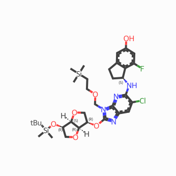 CC(C)(C)[Si](C)(C)O[C@@H]1CO[C@H]2[C@@H]1OC[C@H]2Oc1nc2cc(Cl)c(N[C@H]3CCc4cc(O)cc(F)c43)nc2n1COCC[Si](C)(C)C